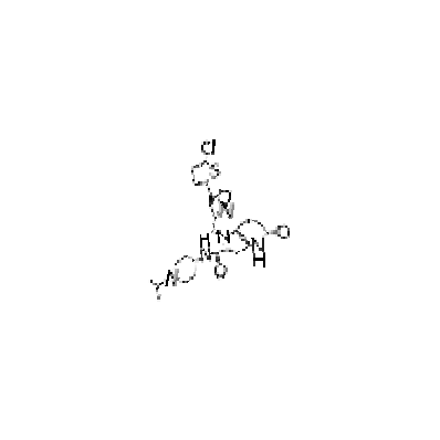 CC(C)N1CCC(NC(=O)c2cc3[nH]c(=O)ccc3n2Cc2cc(-c3ccc(Cl)s3)on2)CC1